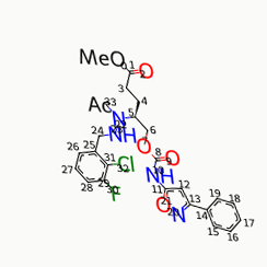 COC(=O)CC[C@@H](COC(=O)Nc1cc(-c2ccccc2)no1)N(NCc1cccc(F)c1Cl)C(C)=O